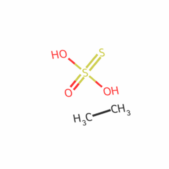 CC.O=S(O)(O)=S